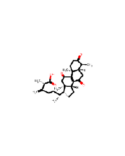 C=C(CC[C@@H](C)[C@H]1CC[C@H]2C3=C(C(=O)C[C@]12C)[C@@]1(C)CCC(=O)[C@@H](C)[C@@H]1CC3=O)[C@H](C)C(=O)O